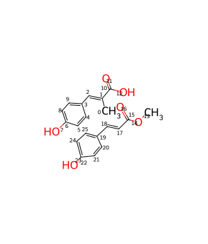 C/C(=C\c1ccc(O)cc1)C(=O)O.COC(=O)/C=C/c1ccc(O)cc1